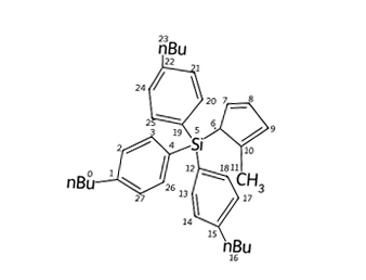 CCCCc1ccc([Si]([C]2C=CC=C2C)(c2ccc(CCCC)cc2)c2ccc(CCCC)cc2)cc1